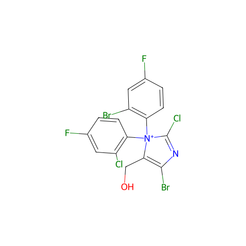 OCC1=C(Br)N=C(Cl)[N+]1(c1ccc(F)cc1Cl)c1ccc(F)cc1Br